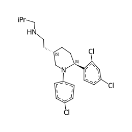 CC(C)CNCC[C@@H]1CC[C@@H](c2ccc(Cl)cc2Cl)N(c2ccc(Cl)cc2)C1